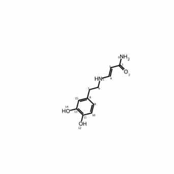 NC(=O)C=CNCCc1ccc(O)c(O)c1